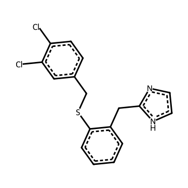 Clc1ccc(CSc2ccccc2Cc2ncc[nH]2)cc1Cl